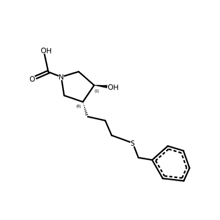 O=C(O)N1C[C@@H](CCCSCc2ccccc2)[C@H](O)C1